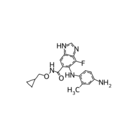 Cc1cc(N)ccc1Nc1c(C(=O)NOCC2CC2)cc2[nH]cnc2c1F